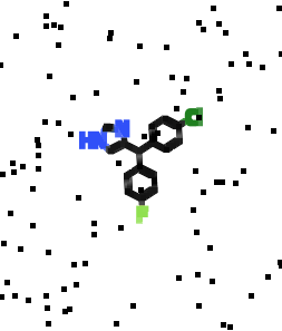 Fc1ccc(C(c2ccc(Cl)cc2)c2c[nH]cn2)cc1